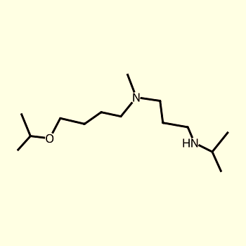 CC(C)NCCCN(C)CCCCOC(C)C